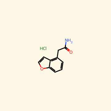 Cl.NC(=O)Cc1cccc2occc12